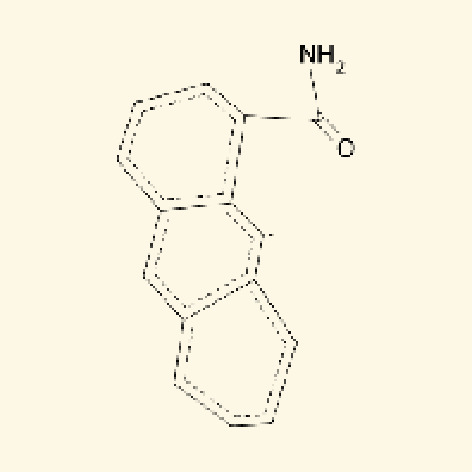 NC(=O)c1cccc2cc3ccccc3[c]c12